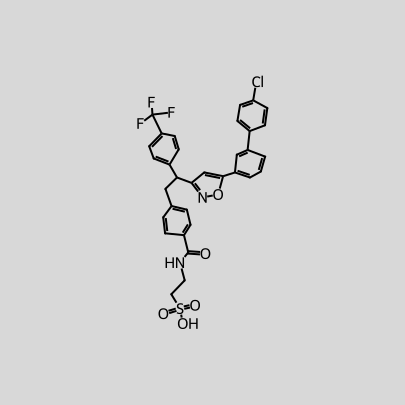 O=C(NCCS(=O)(=O)O)c1ccc(CC(c2ccc(C(F)(F)F)cc2)c2cc(-c3cccc(-c4ccc(Cl)cc4)c3)on2)cc1